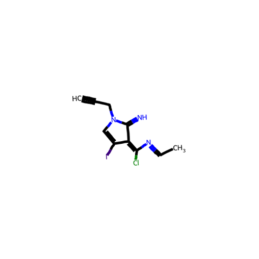 C#CCN1C=C(I)/C(=C(Cl)/N=C/C)C1=N